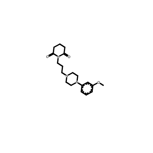 COc1cccc(N2CCN(CCCN3C(=O)CCCC3=O)CC2)c1